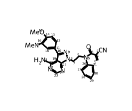 C=C(C#N)C(=O)N(CCn1nc(-c2ccc(OC)c(NC)c2)c2c(N)ncnc21)c1ccccc1